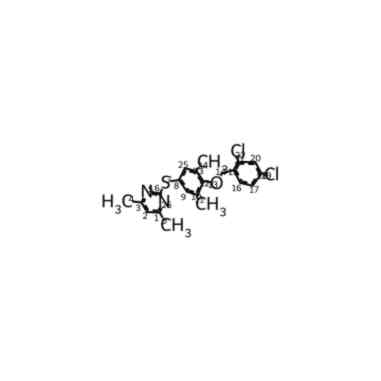 Cc1cc(C)nc(Sc2cc(C)c(OCc3ccc(Cl)cc3Cl)c(C)c2)n1